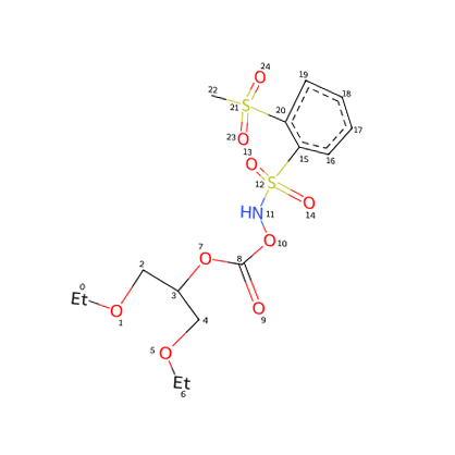 CCOCC(COCC)OC(=O)ONS(=O)(=O)c1ccccc1S(C)(=O)=O